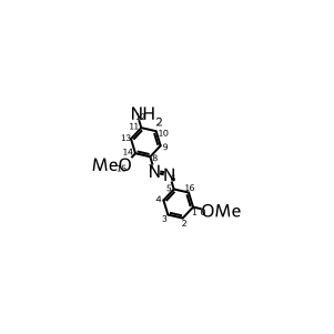 COc1cccc(/N=N/c2ccc(N)cc2OC)c1